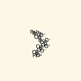 [O-]B([O-])[O-].[O-]B([O-])[O-].[O-]B([O-])[O-].[O-]B([O-])[O-].[Pr+3].[Pr+3].[Pr+3].[Pr+3]